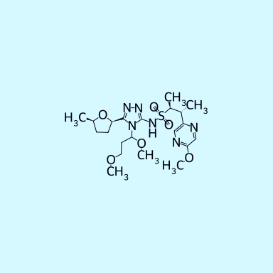 COCCC(OC)n1c(NS(=O)(=O)[C@@H](C)[C@H](C)c2cnc(OC)cn2)nnc1[C@H]1CC[C@@H](C)O1